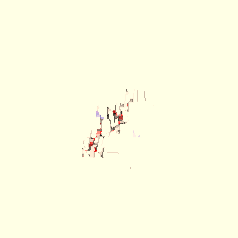 CCCCCCCC/C=C/CCCCCCCC[N+](C)(CCCC[N+](C)(CCCCCCCC/C=C/CCCCCCCC)CCCNC(=O)C(CCCNCCCN)NCCCN)CCCNC(=O)C(CCCNCCCC)NCCCN